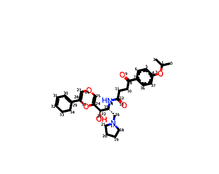 CC(C)Oc1ccc(C(=O)CCC(=O)N[C@H](CN2CCCC2)[C@@H](O)C2=COC=C(C3=CC=CCC3)O2)cc1